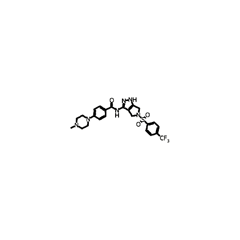 CN1CCN(c2ccc(C(=O)Nc3n[nH]c4c3CN(S(=O)(=O)c3ccc(C(F)(F)F)cc3)C4)cc2)CC1